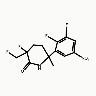 CC1(c2cc([N+](=O)[O-])cc(F)c2F)CCC(F)(CF)C(=O)N1